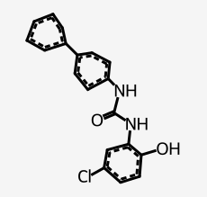 O=C(Nc1ccc(-c2ccccc2)cc1)Nc1cc(Cl)ccc1O